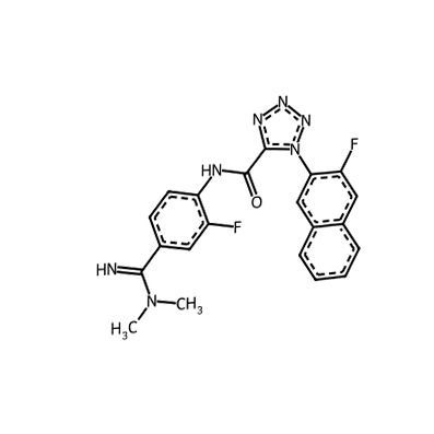 CN(C)C(=N)c1ccc(NC(=O)c2nnnn2-c2cc3ccccc3cc2F)c(F)c1